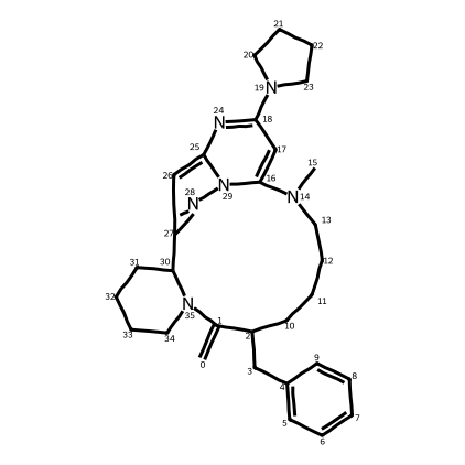 C=C1C(Cc2ccccc2)CCCCN(C)c2cc(N3CCCC3)nc3cc(nn23)C2CCCCN12